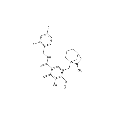 CN1CC2CCCC1(Cn1cc(C(=O)NCc3ccc(F)cc3F)c(=O)c(O)c1C=O)C2